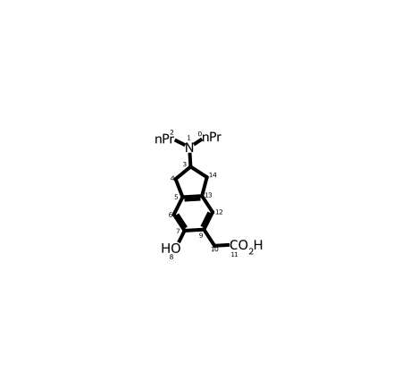 CCCN(CCC)C1Cc2cc(O)c(CC(=O)O)cc2C1